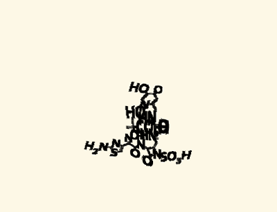 CC(C)(ON=C(C(=O)N[C@@H]1C(=O)N(S(=O)(=O)O)[C@@H]1CNC(=O)NCc1cc(=O)c(O)cn1O)c1csc(N)n1)C(=O)O